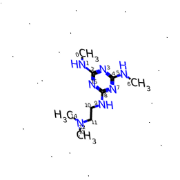 CNc1nc(NC)nc(NCCN(C)C)n1